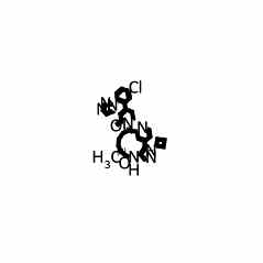 C[C@@H]1CCC[C@H](N2CCC(c3cc(Cl)ccc3-n3ccnn3)=CC2=O)c2cc(ccn2)-c2c(cnn2C2CCC2)NC1=O